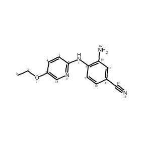 CCOc1ccc(Nc2ccc(C#N)cc2N)nc1